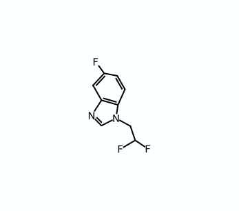 Fc1ccc2c(c1)ncn2CC(F)F